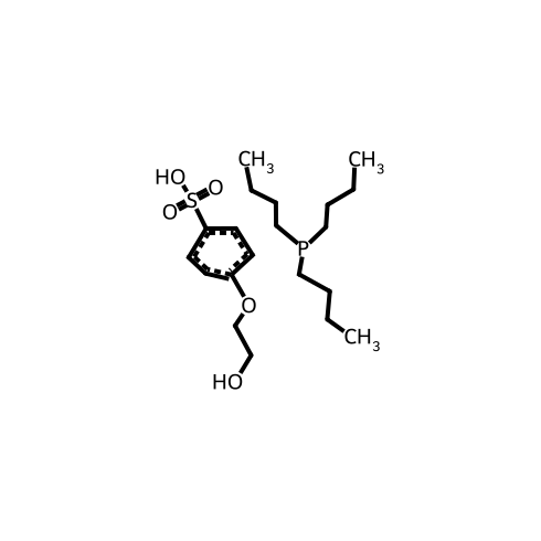 CCCCP(CCCC)CCCC.O=S(=O)(O)c1ccc(OCCO)cc1